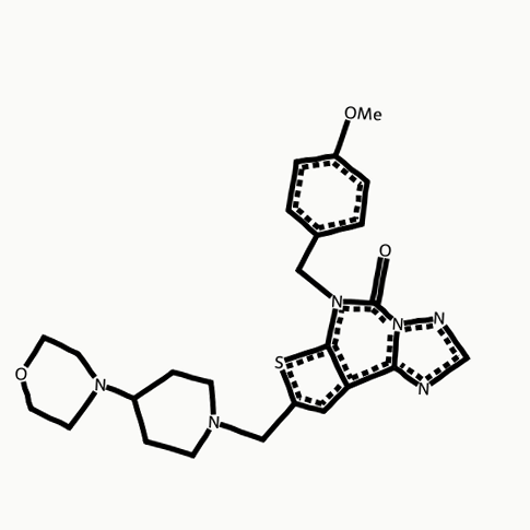 COc1ccc(Cn2c(=O)n3ncnc3c3cc(CN4CCC(N5CCOCC5)CC4)sc32)cc1